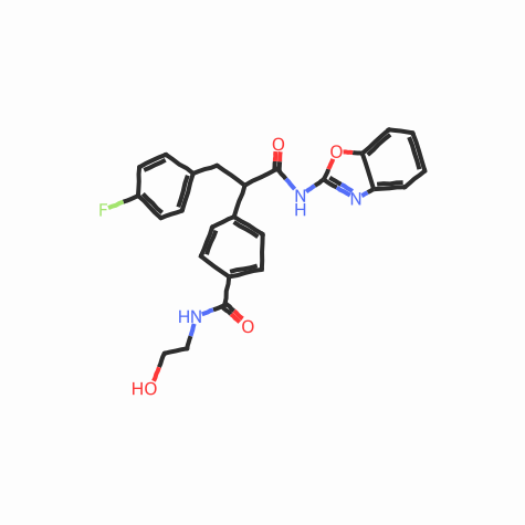 O=C(NCCO)c1ccc(C(Cc2ccc(F)cc2)C(=O)Nc2nc3ccccc3o2)cc1